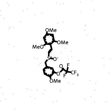 COc1cc(OC)c(/C=C/[S+]([O-])Cc2ccc(OC)c(OC(=O)C(F)(F)C(F)(F)F)c2)c(OC)c1